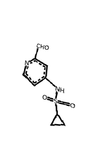 O=Cc1cc(NS(=O)(=O)C2CC2)ccn1